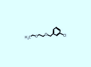 CCOCCOCc1cccc(Cl)c1